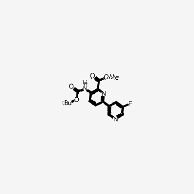 COC(=O)c1nc(-c2cncc(F)c2)ccc1NC(=O)OC(C)(C)C